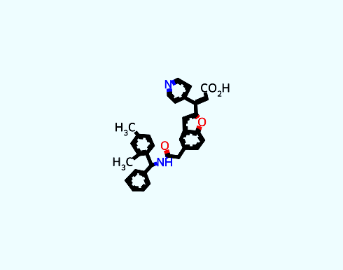 Cc1ccc(C(NC(=O)Cc2ccc3oc(/C(=C/C(=O)O)c4ccncc4)cc3c2)c2ccccc2)c(C)c1